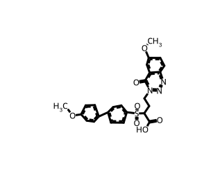 COc1ccc(-c2ccc(S(=O)(=O)C(CCn3nnc4ccc(OC)cc4c3=O)C(=O)O)cc2)cc1